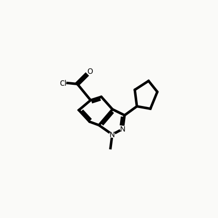 Cn1nc(C2CCCC2)c2cc(C(=O)Cl)ccc21